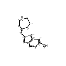 Oc1ccc2cc(C=C3CCCCCC3)sc2c1